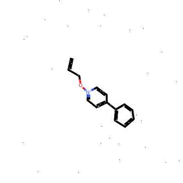 C=CCO[n+]1ccc(-c2ccccc2)cc1